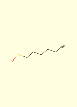 CCCCCCCCS[O]